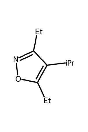 CCc1noc(CC)c1C(C)C